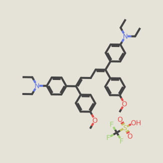 CCN(CC)c1ccc(/C(=C/C/C=C(\c2ccc(OC)cc2)c2ccc(N(CC)CC)cc2)c2ccc(OC)cc2)cc1.O=S(=O)(O)C(F)(F)F